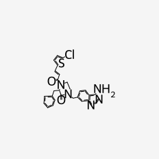 Nc1ncnc2cc(CN3CCN(C(=O)/C=C/c4ccc(Cl)s4)C(Cc4ccccc4)C3=O)ccc12